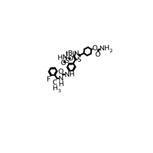 C[C@H](NC(=O)Nc1ccc(-c2cnc(C3CCC(OC(N)=O)CC3)s2)c(S(=O)(=O)NC(C)(C)C)c1)c1ccccc1F